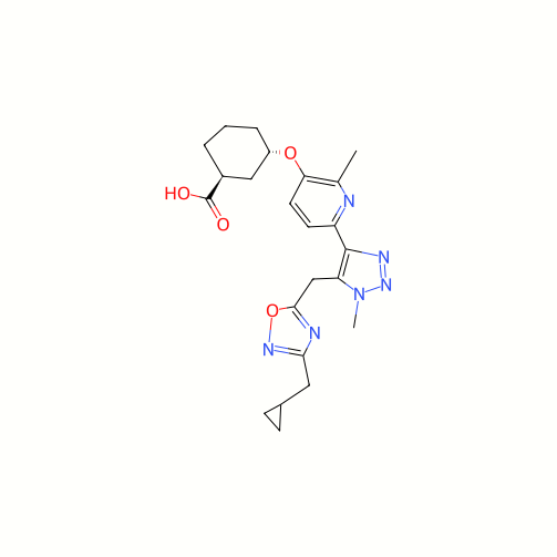 Cc1nc(-c2nnn(C)c2Cc2nc(CC3CC3)no2)ccc1O[C@H]1CCC[C@H](C(=O)O)C1